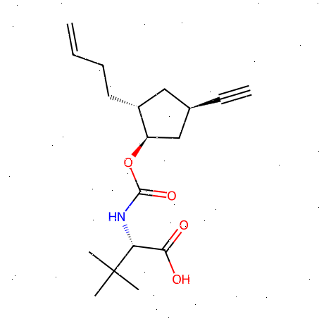 C#C[C@@H]1C[C@@H](CCC=C)[C@H](OC(=O)N[C@H](C(=O)O)C(C)(C)C)C1